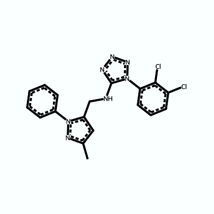 Cc1cc(CNc2nnnn2-c2cccc(Cl)c2Cl)n(-c2ccccc2)n1